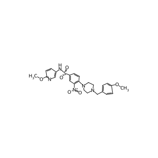 COc1ccc(CN2CCN(c3ccc(S(=O)(=O)Nc4ccc(OC)nc4)cc3[N+](=O)[O-])CC2)cc1